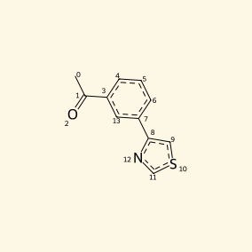 CC(=O)c1cccc(-c2cscn2)c1